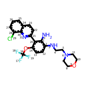 Nc1c(NCCN2CCOCC2)ccc(OC(F)(F)F)c1-c1ccc2cccc(Cl)c2n1